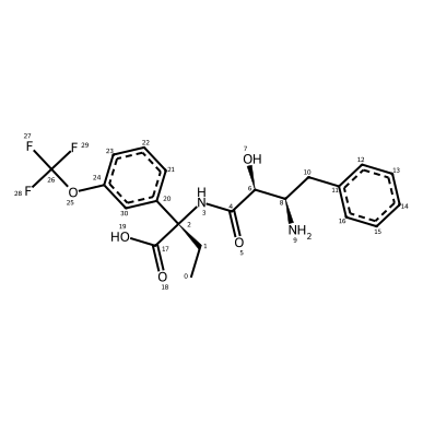 CC[C@@](NC(=O)[C@@H](O)[C@H](N)Cc1ccccc1)(C(=O)O)c1cccc(OC(F)(F)F)c1